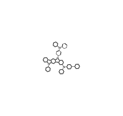 C1=CCCC(N(C2=CCC(n3c4ccc(N(c5ccccc5)c5ccc(-c6ccccc6)cc5)cc4c4cc5c(cc43)c3ccccc3n5-c3ccccc3)C=C2)c2ccccc2)=C1